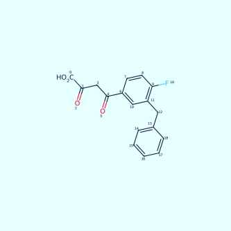 O=C(O)C(=O)CC(=O)c1ccc(F)c(Cc2ccccc2)c1